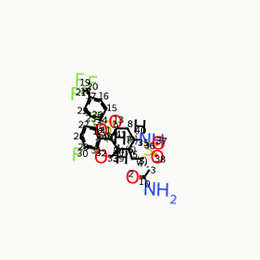 NC(=O)C[C@@H]1C[C@@H]2[C@@H](CC[C@@]3(S(=O)(=O)c4ccc(C(F)(F)F)cc4)c4c(F)ccc(F)c4OC[C@@H]23)NS1(=O)=O